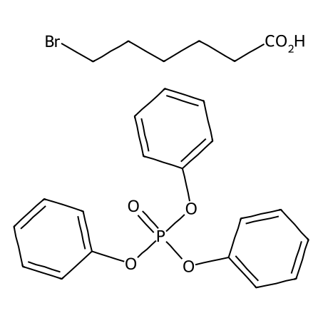 O=C(O)CCCCCBr.O=P(Oc1ccccc1)(Oc1ccccc1)Oc1ccccc1